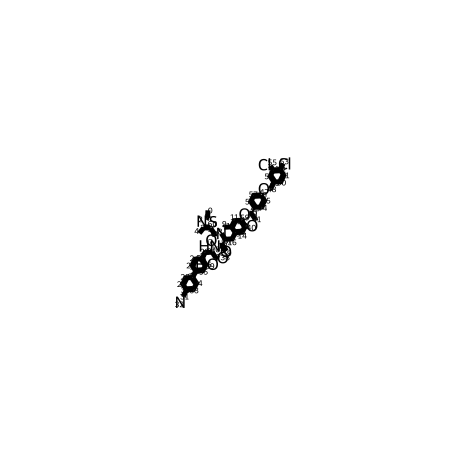 Cc1nc(C)c(C(=O)N2Cc3cc4c(cc3C[C@H]2C(=O)NC(Cc2ccc(-c3ccc(C#N)cc3)cc2)C(=O)O)OC[C@H](c2ccc(OCc3ccc(Cl)c(Cl)c3)cc2)O4)s1